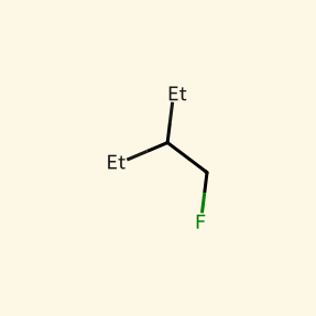 CCC(CC)CF